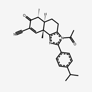 CC(=O)n1c(-c2ccc(C(C)C)cc2)nc2c1CC[C@@H]1[C@@H](C)C(=O)C(C#N)=C[C@@]21C